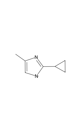 CC1=C[N]C(C2CC2)=N1